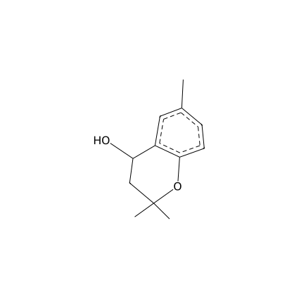 Cc1ccc2c(c1)C(O)CC(C)(C)O2